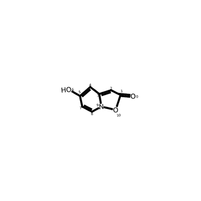 O=c1cc2cc(O)ccn2o1